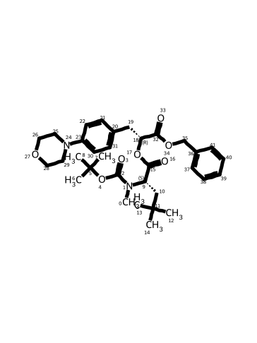 CN(C(=O)OC(C)(C)C)[C@@H](CC(C)(C)C)C(=O)O[C@H](Cc1ccc(N2CCOCC2)cc1)C(=O)OCc1ccccc1